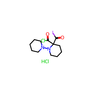 Cl.O=C(Cl)C1(C(=O)I)CCCCN1N1CCCCC1